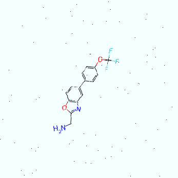 NCc1nc2cc(-c3ccc(OC(F)(F)F)cc3)ccc2o1